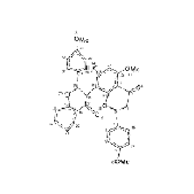 COc1ccc(C2CC(=O)c3c(OC)cc(C)c(C4C(=O)c5ccccc5OC4c4ccc(OC)cc4)c3O2)cc1